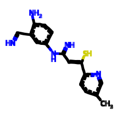 Cc1ccc(/C(S)=C/C(=N)Nc2ccc(N)c(C=N)c2)nc1